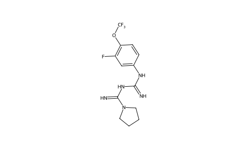 N=C(NC(=N)N1CCCC1)Nc1ccc(OC(F)(F)F)c(F)c1